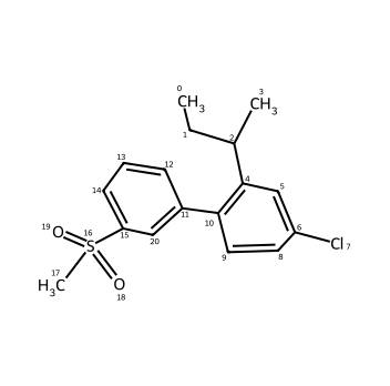 CCC(C)c1cc(Cl)ccc1-c1cccc(S(C)(=O)=O)c1